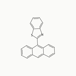 c1ccc2c(-c3nc4ccccc4s3)c3ccccc3cc2c1